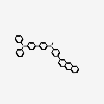 CN(c1ccc(-c2ccc(N(c3ccccc3)c3ccccc3)cc2)cc1)c1ccc(-c2ccc3cc4ccccc4cc3c2)cc1